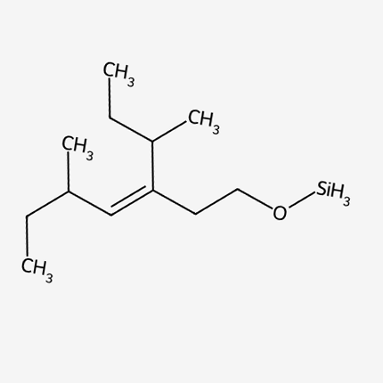 CCC(C)C=C(CCO[SiH3])C(C)CC